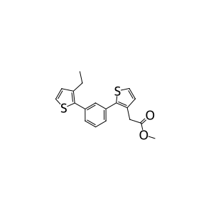 CCc1ccsc1-c1cccc(-c2sccc2CC(=O)OC)c1